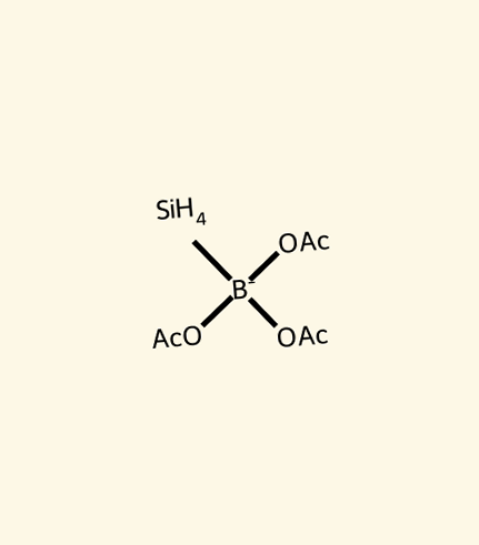 CC(=O)O[B-](C)(OC(C)=O)OC(C)=O.[SiH4]